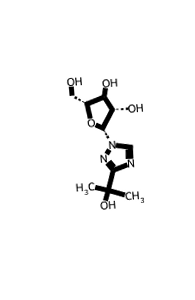 CC(C)(O)c1ncn([C@@H]2O[C@H](CO)C(O)[C@@H]2O)n1